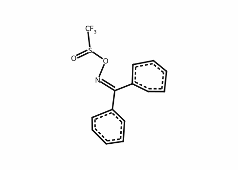 O=S(ON=C(c1ccccc1)c1ccccc1)C(F)(F)F